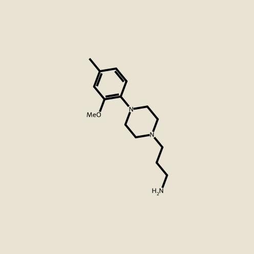 COc1cc(C)ccc1N1CCN(CCCN)CC1